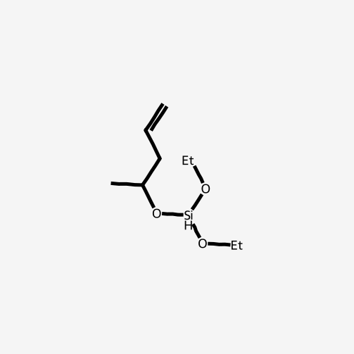 C=CCC(C)O[SiH](OCC)OCC